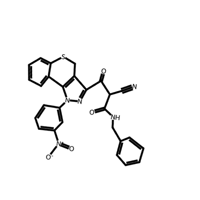 N#CC(C(=O)NCc1ccccc1)C(=O)c1nn(-c2cccc([N+](=O)[O-])c2)c2c1CSc1ccccc1-2